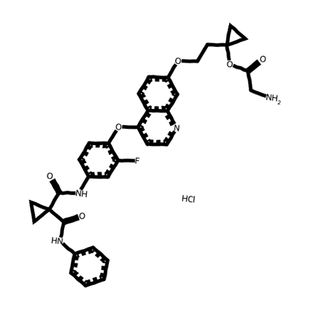 Cl.NCC(=O)OC1(CCOc2ccc3c(Oc4ccc(NC(=O)C5(C(=O)Nc6ccccc6)CC5)cc4F)ccnc3c2)CC1